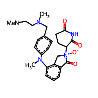 CNCCN(C)Cc1ccc(N(C)c2cccc3c2C[N+]([O-])(C2CCC(=O)NC2=O)C3=O)cc1